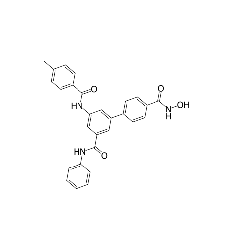 Cc1ccc(C(=O)Nc2cc(C(=O)Nc3ccccc3)cc(-c3ccc(C(=O)NO)cc3)c2)cc1